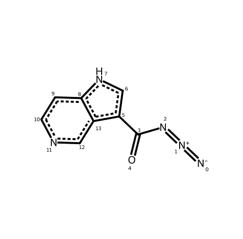 [N-]=[N+]=NC(=O)c1c[nH]c2ccncc12